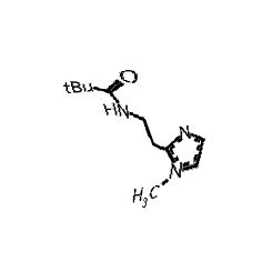 Cn1ccnc1CCNC(=O)C(C)(C)C